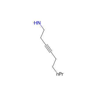 CCCCCC#CCC[NH]